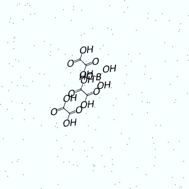 O=C(O)C(=O)O.O=C(O)C(=O)O.O=C(O)C(=O)O.OB(O)O